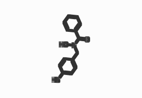 O=C(c1ccccc1)N(O)Cc1ccc(S)cc1